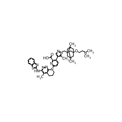 Cc1c(Nc2nc3ccccc3s2)nnc2c1CCCN2c1ccc(-c2cnn(CC34CC5(OCCN(C)C)C[C@](C)(C3)C[C@](C)(C4)C5)c2C)c(C(=O)O)n1